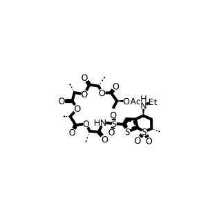 CCN[C@H]1C[C@H](C)S(=O)(=O)c2sc(S(=O)(=O)NC(=O)[C@H](C)OC(=O)[C@H](C)OC(=O)[C@H](C)OC(=O)[C@H](C)OC(=O)[C@H](C)OC(C)=O)cc21